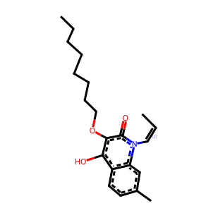 C/C=C\n1c(=O)c(OCCCCCCCC)c(O)c2ccc(C)cc21